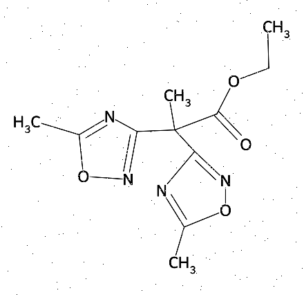 CCOC(=O)C(C)(c1noc(C)n1)c1noc(C)n1